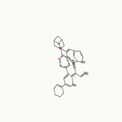 N#C/C(C=N)=C1/NC=C(C2=CCCCC2)C=C1c1ccc(N2CC3CC(C2)N3CC2=CC3=CC(N=C2)NC=C3)nc1